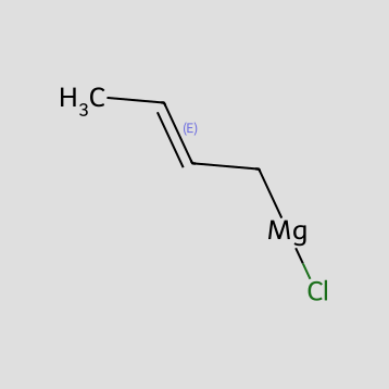 C/C=C/[CH2][Mg][Cl]